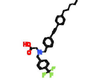 CCCCCc1ccc(C#Cc2ccc(CN(CC(=O)O)Cc3ccc(C(F)(F)F)cc3)cc2)cc1